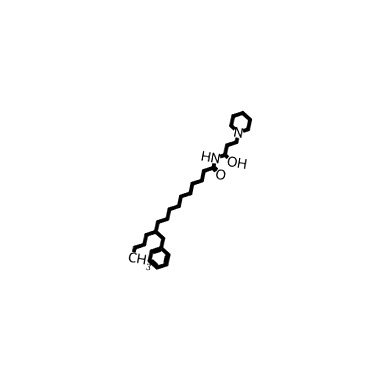 CCCCC(CCCCCCCCCC(=O)NC(O)CCN1CCCCC1)Cc1ccccc1